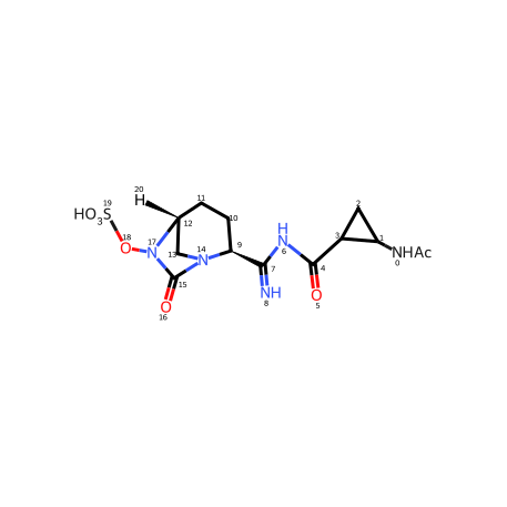 CC(=O)NC1CC1C(=O)NC(=N)[C@@H]1CC[C@@H]2CN1C(=O)N2OS(=O)(=O)O